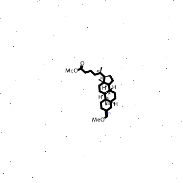 CO/C=C1\CC[C@@]2(C)[C@@H](CC[C@@H]3[C@@H]2CC[C@]2(C)[C@@H]([C@H](C)CCCC(=O)OC)CC[C@@H]32)C1